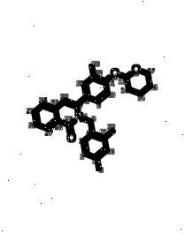 Cc1ccc(Cn2c(-c3ccc(OC4CCCCO4)c(C)c3)cc3ccccc3c2=O)c(C)c1